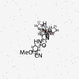 COc1ccc(C(=O)Nc2cnc3c(c(C4C5CC[C@@H]4CN(C(=O)C4CCCC4)C5)cn3C)c2C)cc1C#N